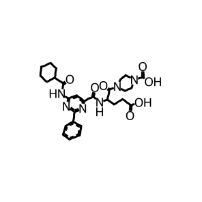 O=C(O)CCC(NC(=O)c1cc(NC(=O)C2CCCCC2)nc(-c2ccccc2)n1)C(=O)N1CCN(C(=O)O)CC1